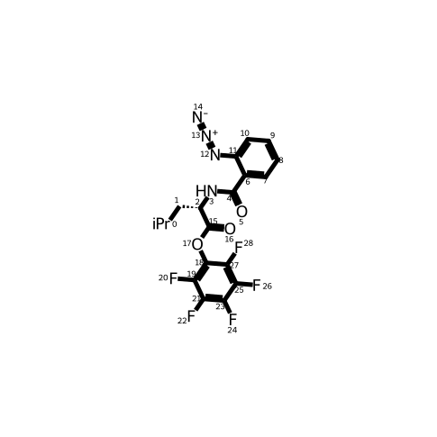 CC(C)C[C@H](NC(=O)c1ccccc1N=[N+]=[N-])C(=O)Oc1c(F)c(F)c(F)c(F)c1F